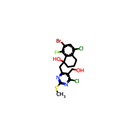 CSc1nc(Cl)c(CO)c(CC2(O)CCCc3c(Cl)cc(Br)c(F)c32)n1